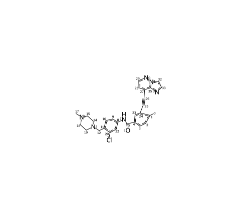 Cc1ccc(C(=O)Nc2ccc(CN3CCN(C)CC3)c(Cl)c2)cc1C#Cc1ccnn2ccnc12